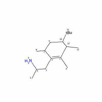 CC1=C(CC(C)N)C(C)CC(C(C)(C)C)C1C